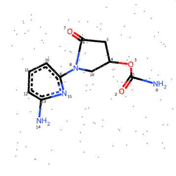 NC(=O)OC1CC(=O)N(c2cccc(N)n2)C1